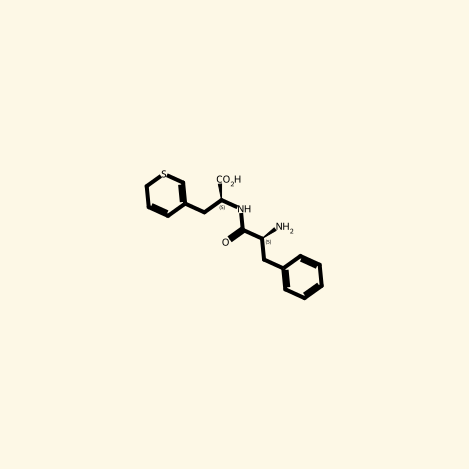 N[C@@H](Cc1ccccc1)C(=O)N[C@@H](CC1=CSCC=C1)C(=O)O